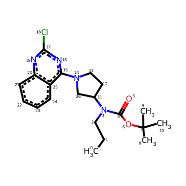 CCCN(C(=O)OC(C)(C)C)C1CCN(c2nc(Cl)nc3ccccc23)C1